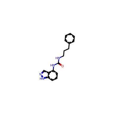 O=C(NCCCc1ccccc1)Nc1cccc2[nH]ncc12